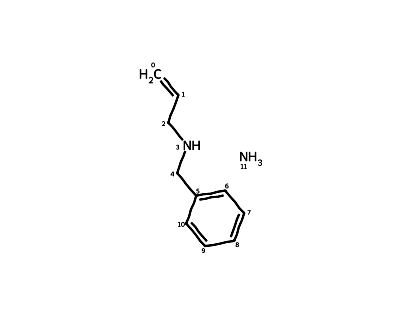 C=CCNCc1ccccc1.N